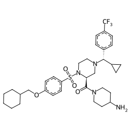 NC1CCN(C(=O)[C@@H]2CN([C@H](c3ccc(C(F)(F)F)cc3)C3CC3)CCN2S(=O)(=O)c2ccc(OCC3CCCCC3)cc2)CC1